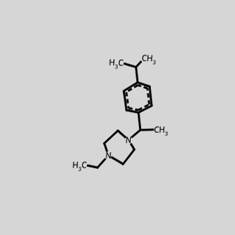 CCN1CCN(C(C)c2ccc(C(C)C)cc2)CC1